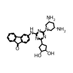 N[C@@H]1C[C@H](N)CN(c2nc(Nc3ccc4c(c3)-c3ccccc3C4=O)nc(C3C[C@@H](O)[C@@H](O)C3)n2)C1